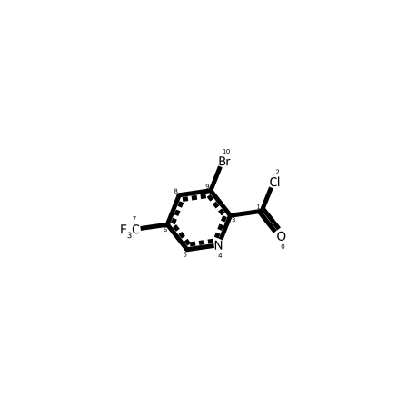 O=C(Cl)c1ncc(C(F)(F)F)cc1Br